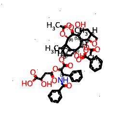 CC(=O)O[C@H]1C(=O)[C@@]2(C)[C@H]([C@H](OC(=O)c3ccccc3)[C@]3(O)C[C@H](OC(=O)[C@H](OC(=O)CC(O)C(=O)O)[C@@H](NC(=O)c4ccccc4)c4ccccc4)C(C)=C1C3(C)C)[C@]1(OC(C)=O)OC[C@@H]1C[C@@H]2O